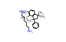 CC1(C)CC(C)(c2ccccc2)c2c1ccc(C(=O)O)c2C(=O)O.NCCCCCCN